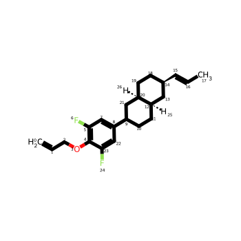 C=CCOc1c(F)cc(C2CC[C@@H]3C[C@H](C=CC)CC[C@@H]3C2)cc1F